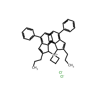 CCCC1=Cc2c(-c3ccccc3)cccc2[CH]1[Zr+2]1([CH]2C(CCC)=Cc3c(-c4ccccc4)cccc32)[CH2]C[CH2]1.[Cl-].[Cl-]